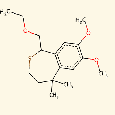 [CH2]COCC1SCCC(C)(C)c2cc(OC)c(OC)cc21